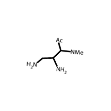 CNC(C(C)=O)C(N)CN